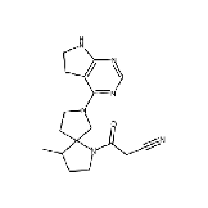 CC1CCN(C(=O)CC#N)C12CCN(c1ncnc3c1CCN3)C2